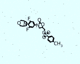 Cc1ccc(S(=O)(=O)OCC2CN(c3cc(F)c(N4C5CCC4COC5)c(F)c3)C(=O)O2)cc1